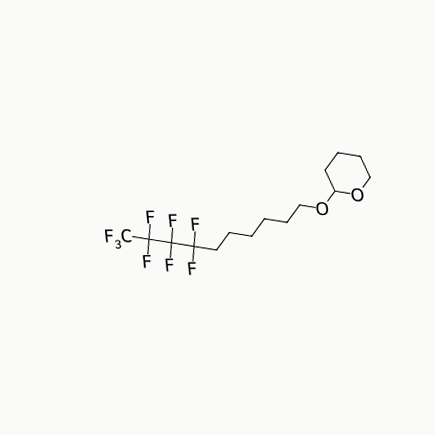 FC(F)(F)C(F)(F)C(F)(F)C(F)(F)CCCCCCOC1CCCCO1